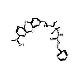 CC(O)c1ccc(Oc2ccc(CNC(=O)C(C)(C)NC(=O)OCc3ccccc3)cc2)c(Cl)c1